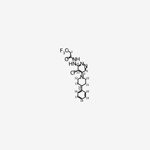 O=C(CC(F)(F)F)NNc1nncc(N2CCC(c3ccccc3)CC2)c1Cl